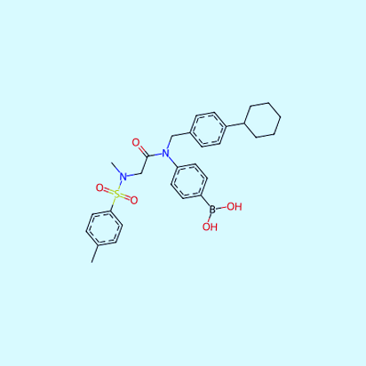 Cc1ccc(S(=O)(=O)N(C)CC(=O)N(Cc2ccc(C3CCCCC3)cc2)c2ccc(B(O)O)cc2)cc1